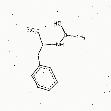 CCOC(=O)C(Cc1ccccc1)NB(C)O